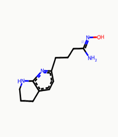 N/C(CCCc1ccc2c(n1)NCCC2)=N\O